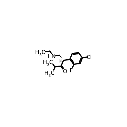 CCNC[C@@H](C(=O)C(C)C)c1ccc(Cl)cc1F